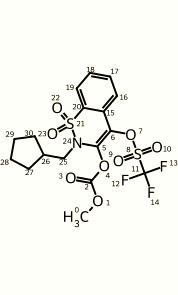 COC(=O)OC1=C(OS(=O)(=O)C(F)(F)F)c2ccccc2S(=O)(=O)N1CC1CCCC1